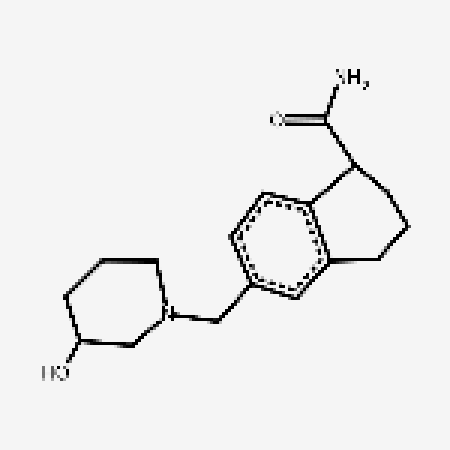 NC(=O)C1[C]CCc2cc(CN3CCCC(O)C3)ccc21